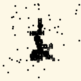 CC1(C)[C@H](NC(=O)/C(=N\O[C@](C)(C(=O)O)[C@H]2CCc3cc(C(=N)NCCC4CNC4)ccc3O2)c2csc(N)n2)C(=O)N1OS(=O)(=O)O